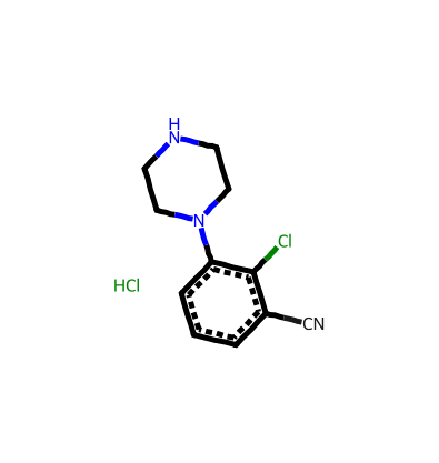 Cl.N#Cc1cccc(N2CCNCC2)c1Cl